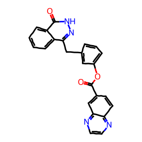 O=C(Oc1cccc(Cc2n[nH]c(=O)c3ccccc23)c1)c1ccc2nccnc2c1